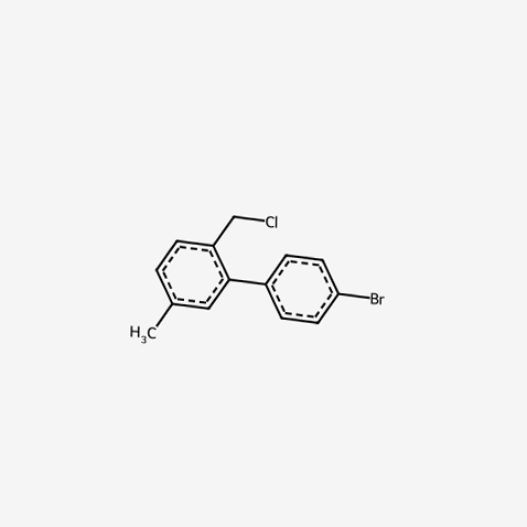 Cc1ccc(CCl)c(-c2ccc(Br)cc2)c1